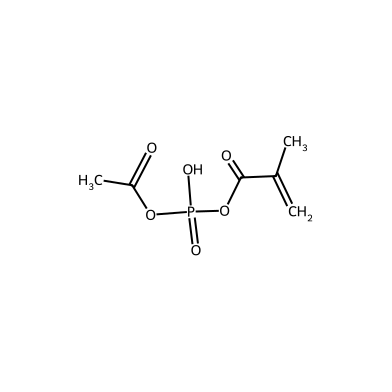 C=C(C)C(=O)OP(=O)(O)OC(C)=O